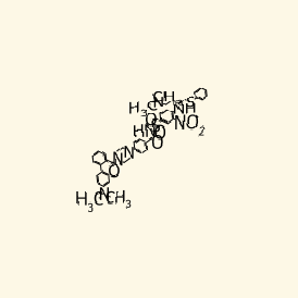 CN(C)CC[C@H](CSc1ccccc1)Nc1ccc(S(=O)(=O)NC(=O)c2ccc(N3CCN(C(=O)c4ccccc4-c4ccc(N(C)C)cc4)CC3)cc2)cc1[N+](=O)[O-]